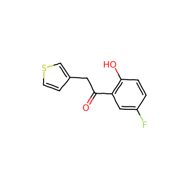 O=C(Cc1ccsc1)c1cc(F)ccc1O